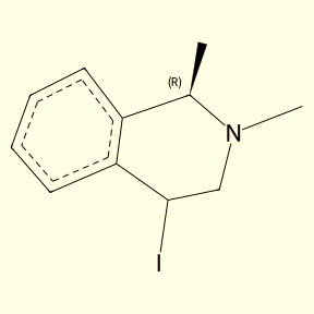 C[C@@H]1c2ccccc2C(I)CN1C